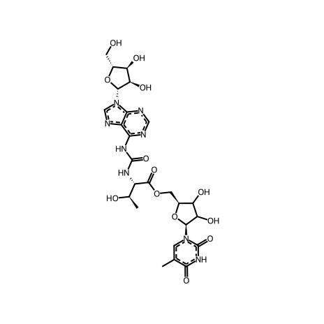 Cc1cn([C@H]2O[C@@H](COC(=O)[C@@H](NC(=O)Nc3ncnc4c3ncn4[C@@H]3O[C@H](CO)[C@@H](O)[C@H]3O)[C@@H](C)O)C(O)C2O)c(=O)[nH]c1=O